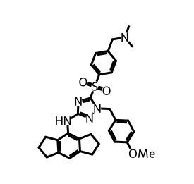 COc1ccc(Cn2nc(Nc3c4c(cc5c3CCC5)CCC4)nc2S(=O)(=O)c2ccc(CN(C)C)cc2)cc1